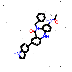 CC(=O)Nc1ccc2c(c1)N(Cc1ccccc1)C(=O)c1cc(-c3ccc4[nH]ccc4c3)ccc1N2